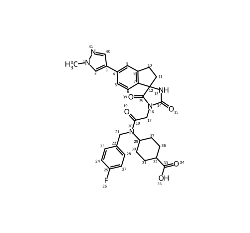 Cn1cc(-c2ccc3c(c2)CCC32NC(=O)N(CC(=O)N(Cc3ccc(F)cc3)C3CCC(C(=O)O)CC3)C2=O)cn1